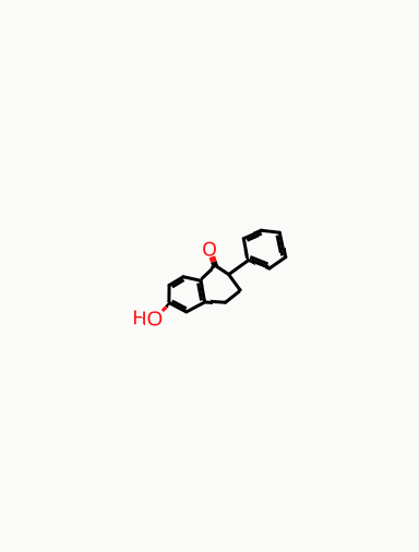 O=C1c2ccc(O)cc2CCC1c1ccccc1